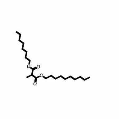 CCCCCCCCCCOC(=O)C(C)C(=O)OCCCCCCCC